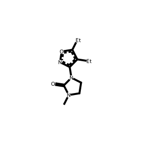 CCc1onc(N2CCN(C)C2=O)c1CC